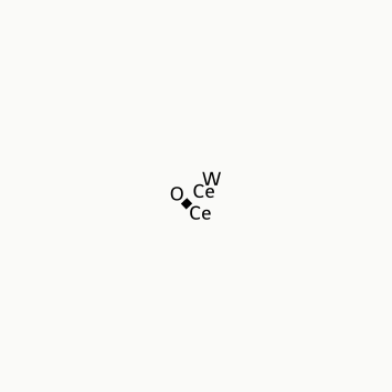 [Ce].[O]=[Ce].[W]